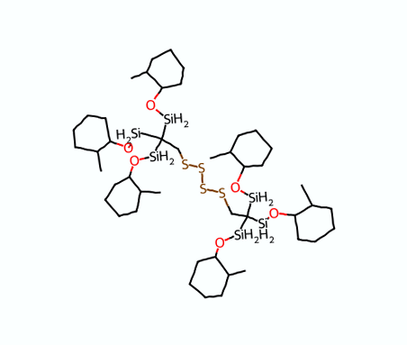 CC1CCCCC1O[SiH2]C(CSSSSCC([SiH2]OC1CCCCC1C)([SiH2]OC1CCCCC1C)[SiH2]OC1CCCCC1C)([SiH2]OC1CCCCC1C)[SiH2]OC1CCCCC1C